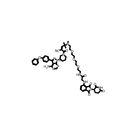 CN(CCOCCOCCOCCNC(=O)CNc1cccc2c1C(=O)N(C1CCC(=O)NC1=O)C2=O)C(C)(C)C=C(C#N)C(=O)N1CCC[C@@H](n2nc(-c3ccc(Oc4ccccc4)cc3)c3c(N)ncnc32)C1